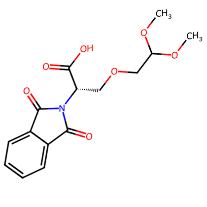 COC(COC[C@@H](C(=O)O)N1C(=O)c2ccccc2C1=O)OC